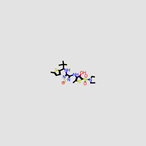 CCN(CC)S(=O)(=O)c1sc(C)c(Nc2n[s+]([O-])nc2N[C@@H](c2ccc(C)s2)C(C)(C)C)c1O